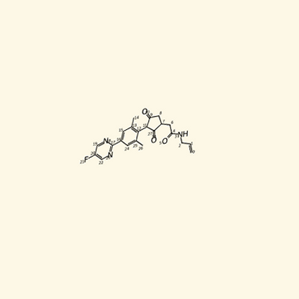 C=CCNC(=O)CC1CC(=O)C(c2c(C)cc(-c3ncc(F)cn3)cc2C)C1=O